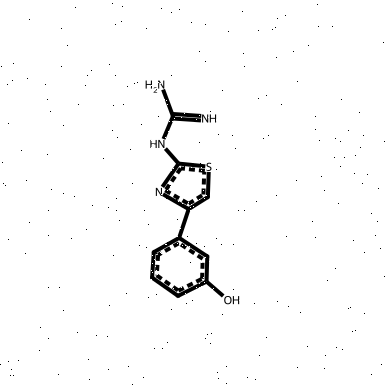 N=C(N)Nc1nc(-c2cccc(O)c2)cs1